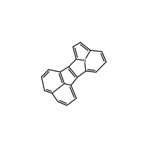 c1cc2cccc3c2c(c1)c1c3c2ccc3cccc1n32